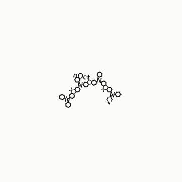 C#C/C=C\C(=C/C)N(c1ccccc1)c1ccc2c(c1)C(C)(C)c1cc(N(c3ccccc3)c3ccc4c(c3)C(CCCCCCCC)c3cc(N(c5ccccc5)c5ccc6c(c5)C(C)(C)c5cc(N(c7ccccc7)c7ccccc7)ccc5-6)ccc3-4)ccc1-2